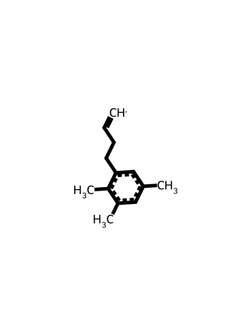 [CH]=CCCc1cc(C)cc(C)c1C